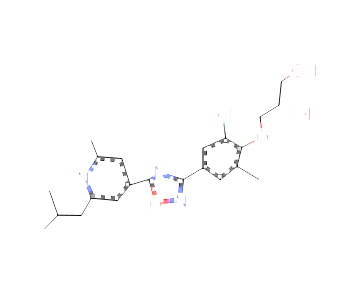 Cc1cc(-c2nc(-c3cc(C)c(OC[C@@H](O)CO)c(Cl)c3)no2)cc(CC(C)C)n1